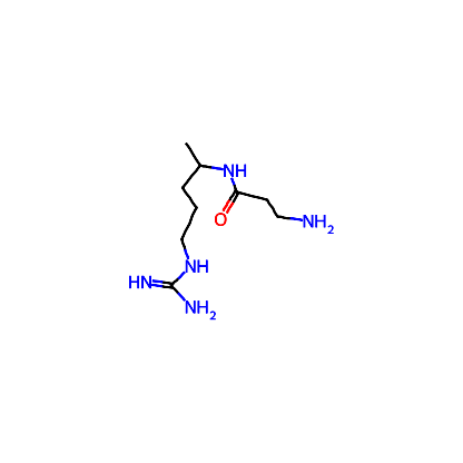 CC(CCCNC(=N)N)NC(=O)CCN